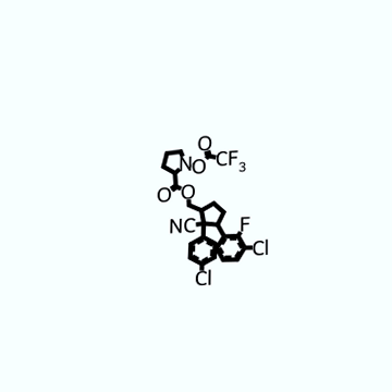 N#CC1(c2ccc(Cl)cc2)C(COC(=O)C2CCCN2OC(=O)C(F)(F)F)CCC1c1cccc(Cl)c1F